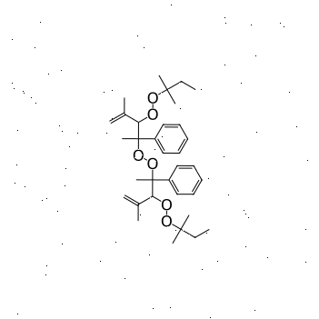 C=C(C)C(OOC(C)(C)CC)C(C)(OOC(C)(c1ccccc1)C(OOC(C)(C)CC)C(=C)C)c1ccccc1